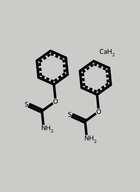 NC(=S)Oc1ccccc1.NC(=S)Oc1ccccc1.[CaH2]